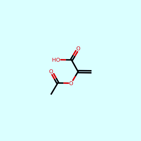 C=C(OC(C)=O)C(=O)O